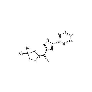 CC1(C)C[CH]N(C(=O)c2csc(-c3ccncc3)n2)C1